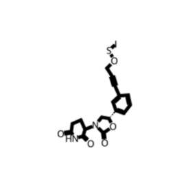 O=C1CCC(N2C[C@H](c3cccc(C#CCOSI)c3)OC2=O)C(=O)N1